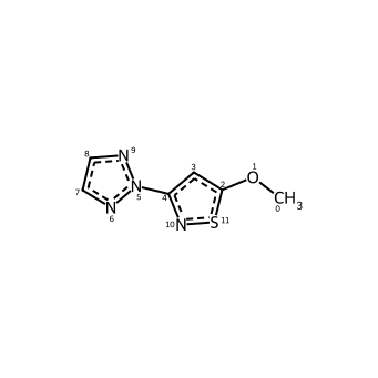 COc1cc(-n2nccn2)ns1